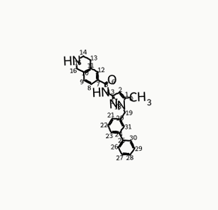 Cc1cc(NC(=O)c2ccc3c(c2)CCNC3)nn1Cc1cccc(-c2ccccc2)c1